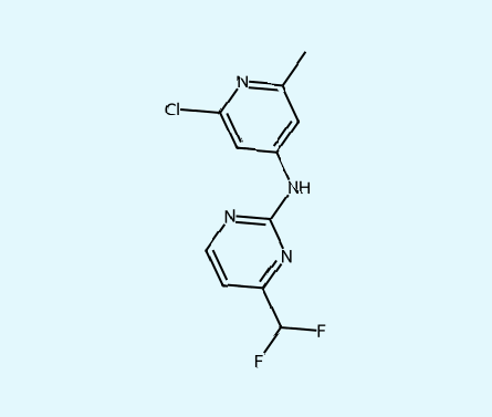 Cc1cc(Nc2nccc(C(F)F)n2)cc(Cl)n1